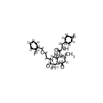 CC(C)[C@H]1C(=O)N(CCOCc2ccccc2F)C[C@H]2N1C(=O)CN(C)N2C(=O)NCc1ccc(F)cc1